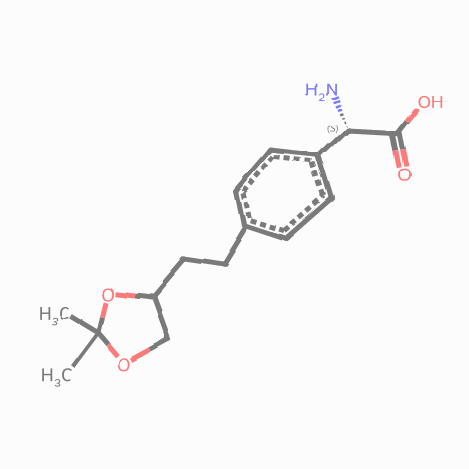 CC1(C)OCC(CCc2ccc([C@H](N)C(=O)O)cc2)O1